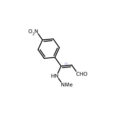 CNN/C(=C\C=O)c1ccc([N+](=O)[O-])cc1